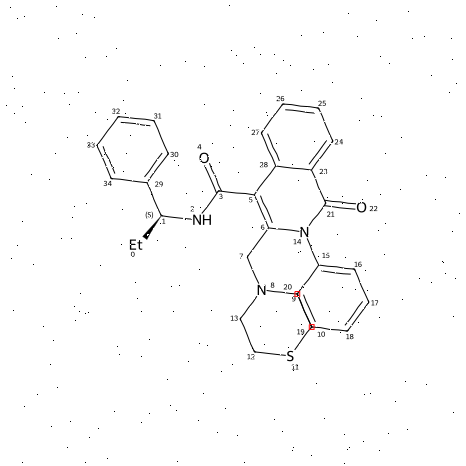 CC[C@H](NC(=O)c1c(CN2CCSCC2)n(-c2ccccc2)c(=O)c2ccccc12)c1ccccc1